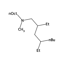 CCCCCCCCN(C)CC(CC)CC(CC)CCCC